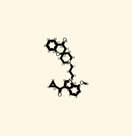 COc1cccc2c(C(=O)C3CC3)cn(CCCN3CCC4(CC3)CC(=O)c3ccccc3O4)c12